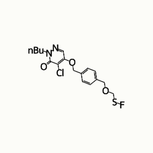 CCCCn1ncc(OCc2ccc(COCSF)cc2)c(Cl)c1=O